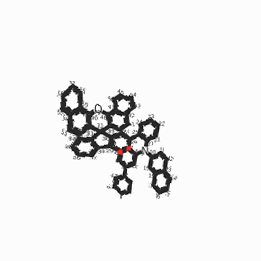 c1ccc(-c2cccc(N(c3ccc4ccccc4c3)c3ccccc3-c3ccc4c(c3)C3(c5ccccc5-4)c4ccc5ccccc5c4Oc4c3ccc3ccccc43)c2)cc1